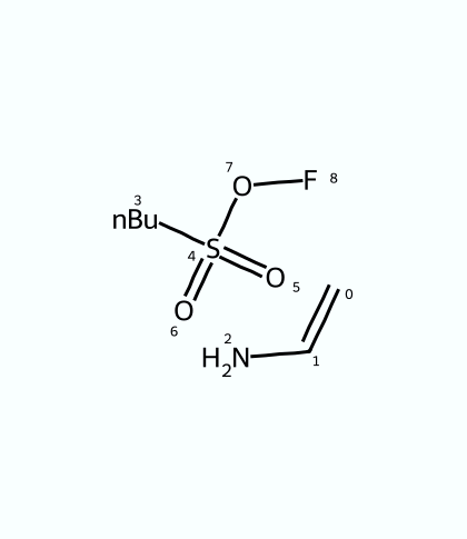 C=CN.CCCCS(=O)(=O)OF